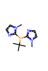 Cn1ccnc1P(c1nccn1C)C(C)(C)C